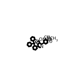 COc1nn(C(c2ccccc2)(c2ccccc2)c2ccccc2)c2ccnc(-c3ccc(S(C)(=O)=O)c(C)c3)c12